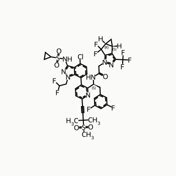 CC(C)(C#Cc1ccc(-c2ccc(Cl)c3c(NS(=O)(=O)C4CC4)nn(CC(F)F)c23)c([C@H](Cc2cc(F)cc(F)c2)NC(=O)Cn2nc(C(F)(F)F)c3c2C(F)(F)[C@@H]2C[C@H]32)n1)S(C)(=O)=O